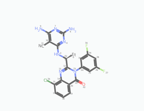 CC[C@H](Nc1nc(N)nc(N)c1C#N)c1nc2c(Cl)cccc2c(=O)n1-c1cc(F)cc(F)c1